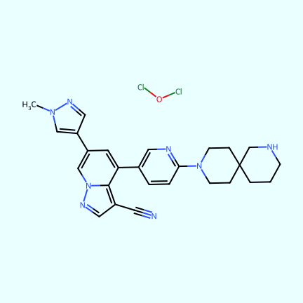 ClOCl.Cn1cc(-c2cc(-c3ccc(N4CCC5(CCCNC5)CC4)nc3)c3c(C#N)cnn3c2)cn1